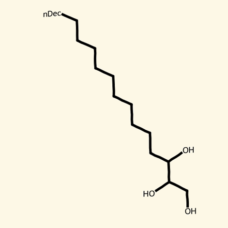 CCCCCCCCCCCCCCCCCCCCC(O)C(O)CO